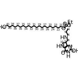 CCOP(=O)(CCCNCC1CNc2c1nc(O)[nH]c2=O)OCCCCCCCCCCCCCCCCCCCCCO